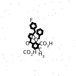 Cc1c(C(=O)O)cc(C(=O)c2ccc(Cc3ccc(F)cc3)o2)c(OCc2ccccc2)c1C(=O)O